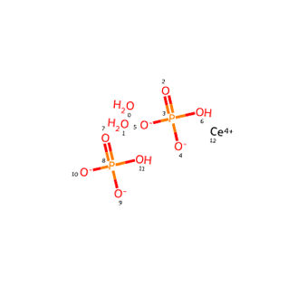 O.O.O=P([O-])([O-])O.O=P([O-])([O-])O.[Ce+4]